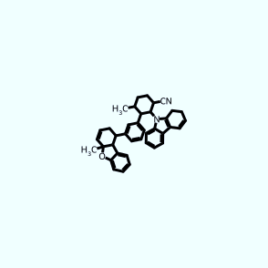 CC1CCC(C#N)C(n2c3c(c4ccccc42)C=CCC3)C1c1cccc(C2CC=CC3(C)Oc4ccccc4C23)c1